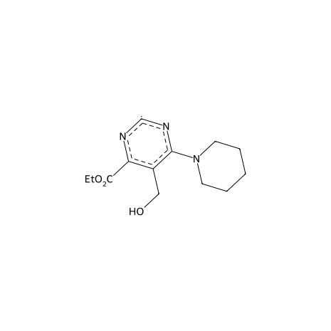 CCOC(=O)c1n[c]nc(N2CCCCC2)c1CO